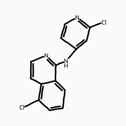 Clc1cc(Nc2nccc3c(Cl)cccc23)ccn1